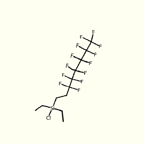 CC[Si](Cl)(CC)CCC(F)(F)C(F)(F)C(F)(F)C(F)(F)C(F)(F)C(F)(F)F